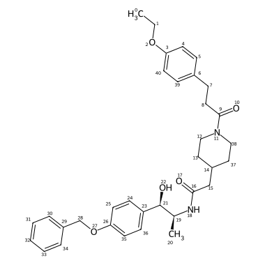 CCOc1ccc(CCC(=O)N2CCC(CC(=O)N[C@@H](C)[C@H](O)c3ccc(OCc4ccccc4)cc3)CC2)cc1